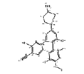 COc1cc(F)c(-c2c(O)cc(N3CCC(N)CC3)nc2-c2ccc(C#N)c(F)c2)cc1F